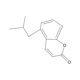 CC(C)Cc1cccc2oc(=O)ccc12